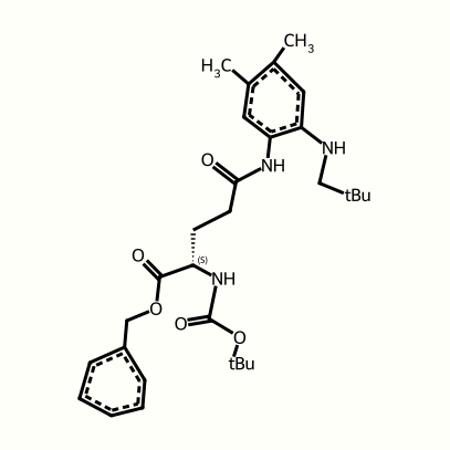 Cc1cc(NCC(C)(C)C)c(NC(=O)CC[C@H](NC(=O)OC(C)(C)C)C(=O)OCc2ccccc2)cc1C